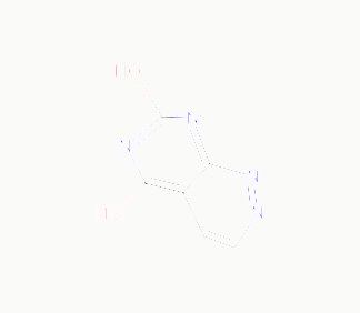 Oc1nc(O)c2ccnnc2n1